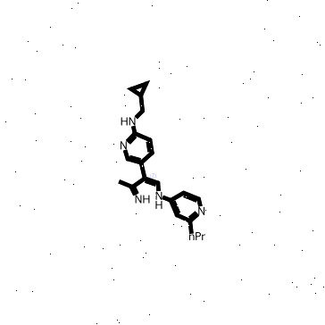 CCCc1cc(N/C=C(\C(C)=N)c2ccc(NCC3CC3)nc2)ccn1